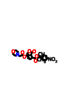 CC(C)(OC(=O)C1C2CC3C(OC(=O)C31)C2OC(=O)CN1CCOCC1)c1ccc([N+](=O)[O-])cc1